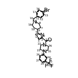 O=C(c1csc(C2CCN(Cc3ccc(Br)cc3)CC2)n1)N1CCN(c2cccc(C(F)(F)F)c2)CC1